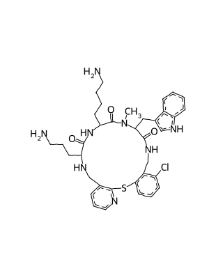 CN1C(=O)C(CCCCN)NC(=O)C(CCCN)NCc2cccnc2Sc2cccc(Cl)c2CNC(=O)C1Cc1c[nH]c2ccccc12